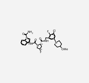 COC1CCN(c2cc(Cl)c(F)c(CNC(=O)[C@@H]3C[C@@H](F)CN3C(=O)Nc3cn(C(N)=O)c4ccccc34)c2)CC1